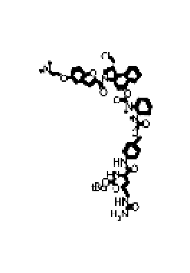 CN(C)CCOc1ccc2oc(C(=O)N3C[C@@H](CCl)c4c3cc(OC(=O)N(C)c3ccccc3N(C)C(=O)OCc3ccc(NC(=O)C(CCCNC(N)=O)NC(=O)OC(C)(C)C)cc3)c3ccccc43)cc2c1